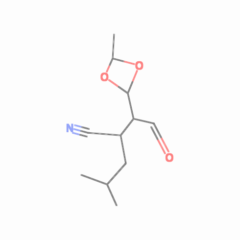 CC(C)CC(C#N)C(C=O)C1OC(C)O1